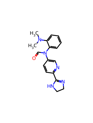 CN(C)c1ccccc1N(C=O)c1ccc(C2=NCCN2)nc1